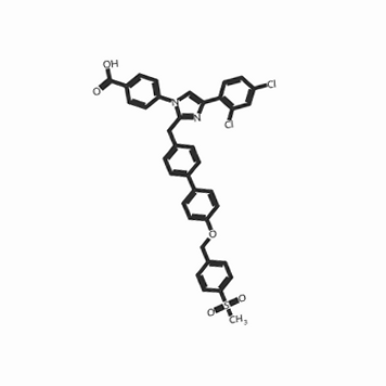 CS(=O)(=O)c1ccc(COc2ccc(-c3ccc(Cc4nc(-c5ccc(Cl)cc5Cl)cn4-c4ccc(C(=O)O)cc4)cc3)cc2)cc1